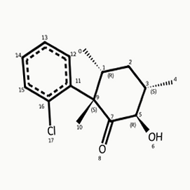 C[C@@H]1C[C@H](C)[C@@H](O)C(=O)[C@]1(C)c1ccccc1Cl